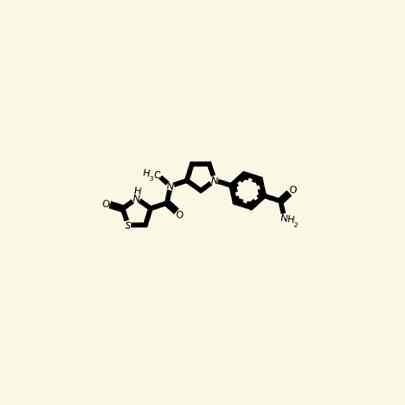 CN(C(=O)C1CSC(=O)N1)C1CCN(c2ccc(C(N)=O)cc2)C1